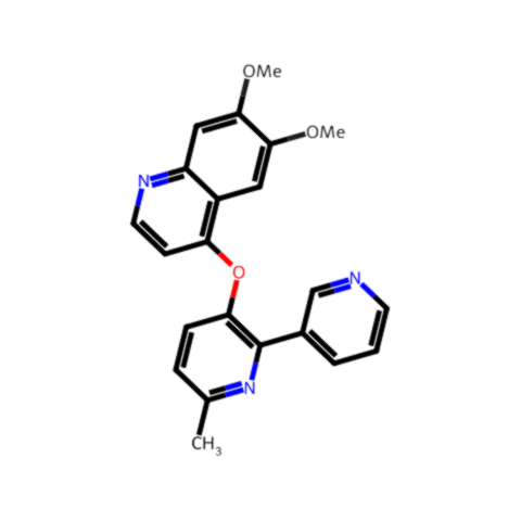 COc1cc2nccc(Oc3ccc(C)nc3-c3cccnc3)c2cc1OC